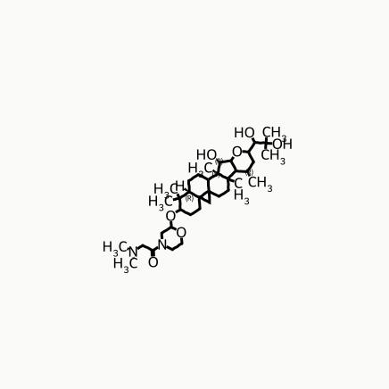 C[C@@H]1CC(C(O)C(C)(C)O)OC2C1C1(C)CCC34CC35CCC(OC3CN(C(=O)CN(C)C)CCO3)C(C)(C)[C@@H]5CCC4[C@]1(C)[C@H]2O